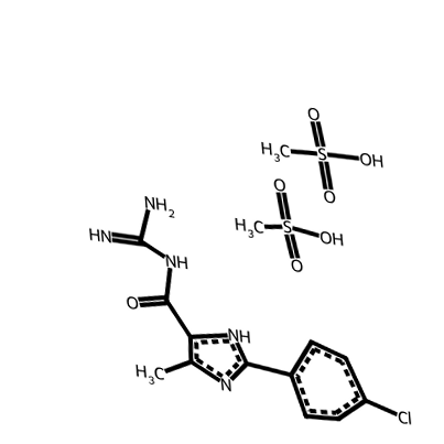 CS(=O)(=O)O.CS(=O)(=O)O.Cc1nc(-c2ccc(Cl)cc2)[nH]c1C(=O)NC(=N)N